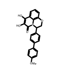 COc1ccc(-c2ccc(C3COc4cccc5c(O)c(O)c(=O)n3c45)cc2)cc1